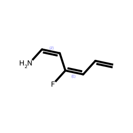 C=C/C=C(F)\C=C/N